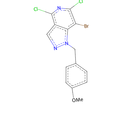 COc1ccc(Cn2ncc3c(Cl)nc(Cl)c(Br)c32)cc1